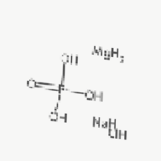 Cl.O=P(O)(O)O.[MgH2].[NaH]